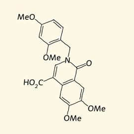 COc1ccc(Cn2cc(C(=O)O)c3cc(OC)c(OC)cc3c2=O)c(OC)c1